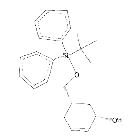 CC(C)(C)[Si](OC[C@H]1CC=C[C@@H](O)C1)(c1ccccc1)c1ccccc1